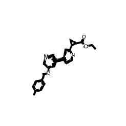 CCOC(=O)C1CC1c1cc(-c2cncc(OCc3ccc(C)cc3)c2)ccn1